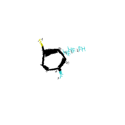 F.F.F.Fc1ccc([S])cc1